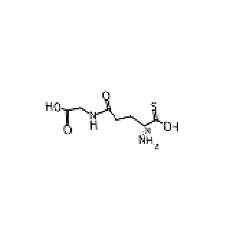 N[C@H](CCC(=O)NCC(=O)O)C(O)=S